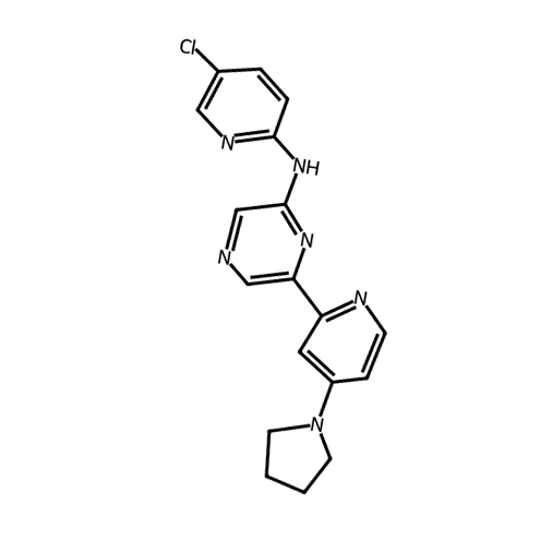 Clc1ccc(Nc2cncc(-c3cc(N4CCCC4)ccn3)n2)nc1